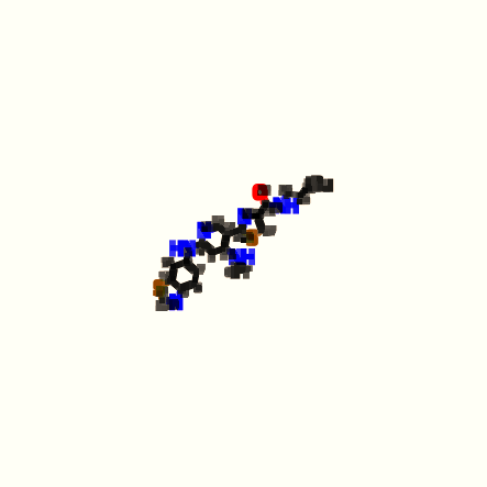 CC(C)Nc1cc(Nc2ccc3ncsc3c2)ncc1-c1nc(C(=O)NCCC(C)(C)C)cs1